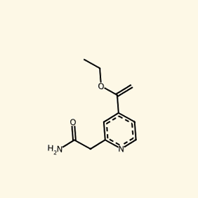 C=C(OCC)c1ccnc(CC(N)=O)c1